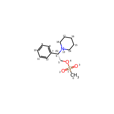 CS(=O)(=O)OC[C@H](c1ccccc1)N1CCCCC1